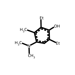 CCc1cc(N(C)C)c(C)c(CC)c1O